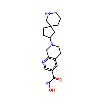 O=C(NO)c1cnc2c(c1)CCN(C1CCC3(CCCNC3)C1)C2